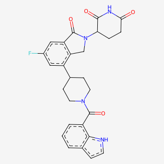 O=C1CCC(N2Cc3c(cc(F)cc3C3CCN(C(=O)c4cccc5cc[nH]c45)CC3)C2=O)C(=O)N1